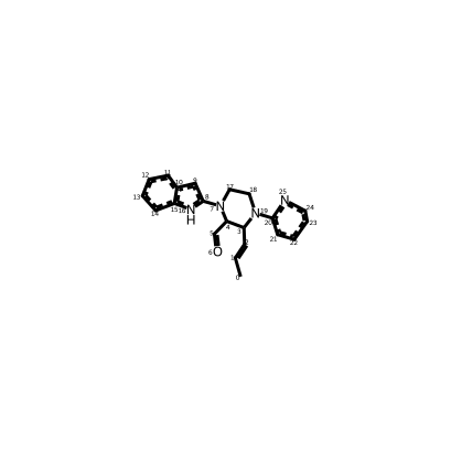 CC=CC1C(C=O)N(c2cc3ccccc3[nH]2)CCN1c1ccccn1